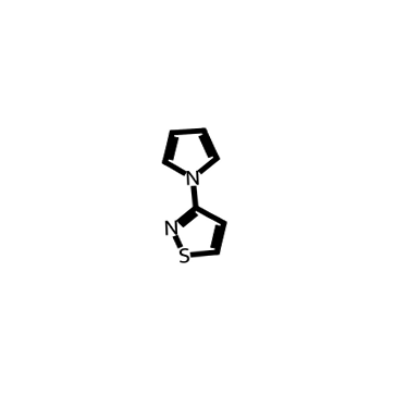 c1ccn(-c2ccsn2)c1